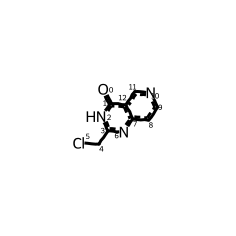 O=c1[nH]c(CCl)nc2ccncc12